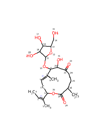 C/C=C(/C)C1C/C=C(\C)C(OC2OC(CO)C(O)C2O)C(O)C(=O)CCC(C)C(=O)O1